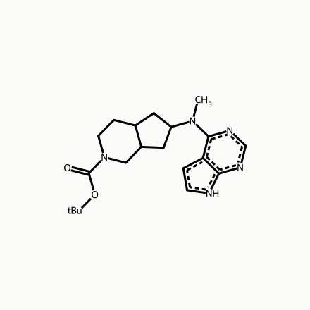 CN(c1ncnc2[nH]ccc12)C1CC2CCN(C(=O)OC(C)(C)C)CC2C1